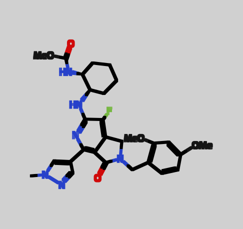 COC(=O)N[C@H]1CCCC[C@H]1Nc1nc(-c2cnn(C)c2)c2c(c1F)CN(Cc1ccc(OC)cc1OC)C2=O